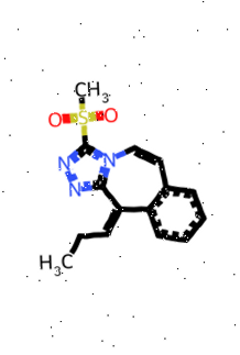 CCC=C1c2ccccc2C=Cn2c1nnc2S(C)(=O)=O